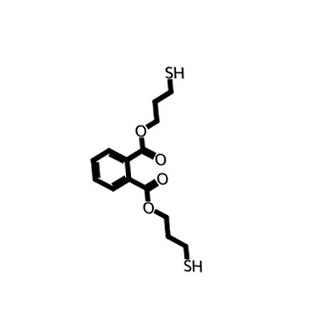 O=C(OCCCS)c1ccccc1C(=O)OCCCS